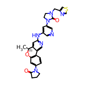 C[C@@H]1Oc2cc(N3CCCC3=O)ccc2-c2cnc(Nc3cncc(N4CCN(Cc5cscn5)C4=O)c3)cc21